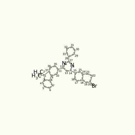 CC1(C)c2ccccc2-c2cc(-c3cc(-c4ccc5cc(Br)ccc5c4)nc(-c4ccccc4)n3)ccc21